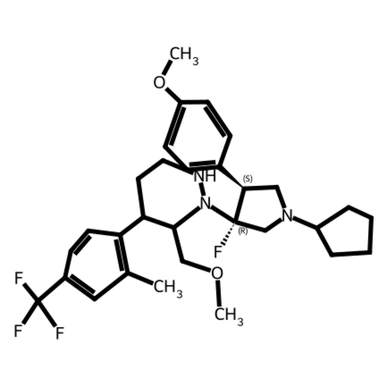 COCC1C(c2ccc(C(F)(F)F)cc2C)CCNN1[C@]1(F)CN(C2CCCC2)C[C@@H]1c1ccc(OC)cc1